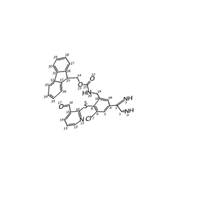 N=CC(=N)c1cc(Cl)c(Sc2ncccc2C=O)c(CNC(=O)OCC2c3ccccc3-c3ccccc32)c1